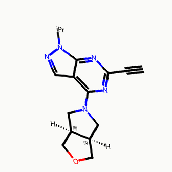 C#Cc1nc(N2C[C@H]3COC[C@H]3C2)c2cnn(C(C)C)c2n1